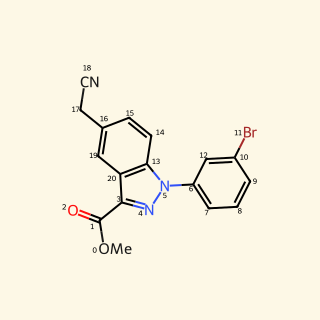 COC(=O)c1nn(-c2cccc(Br)c2)c2ccc(CC#N)cc12